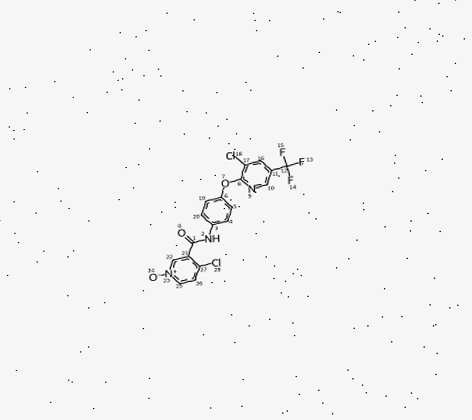 O=C(Nc1ccc(Oc2ncc(C(F)(F)F)cc2Cl)cc1)c1c[n+]([O-])ccc1Cl